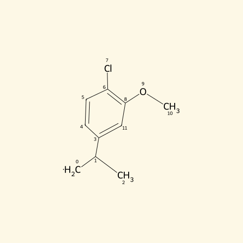 [CH2]C(C)c1ccc(Cl)c(OC)c1